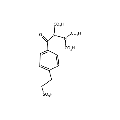 O=C(O)N(C(=O)O)N(C(=O)O)C(=O)c1ccc(CCS(=O)(=O)O)cc1